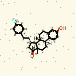 C[C@]12CC[C@@H]3c4ccc(O)cc4CC[C@H]3[C@@H]1[C@H](CCc1ccc(F)cc1)CC2=O